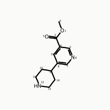 COC(=O)c1cncc(C2CCNCC2)c1